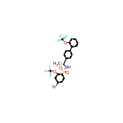 C[C@@H](NS(=O)(=O)c1ccc(Br)cc1OC(F)(F)F)c1ccc(-c2ccccc2OC(F)(F)F)cc1